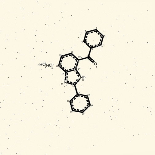 Cl.Cl.O=C(c1ccccc1)c1cccc2nc(-c3ccccc3)[nH]c12